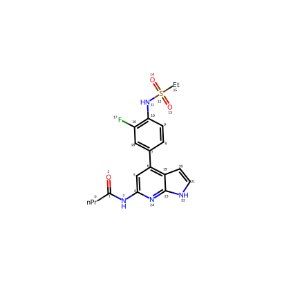 CCCC(=O)Nc1cc(-c2ccc(NS(=O)(=O)CC)c(F)c2)c2cc[nH]c2n1